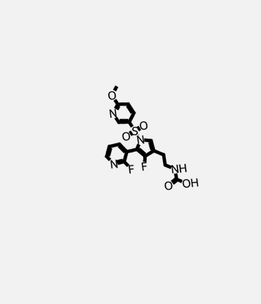 COc1ccc(S(=O)(=O)n2cc(CCNC(=O)O)c(F)c2-c2cccnc2F)cn1